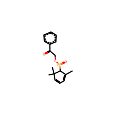 CC1=CC=CC(C)(C)C1[PH](=O)OCC(=O)c1ccccc1